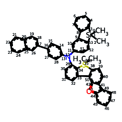 C[Si]1(C)c2ccccc2-c2cc(N(c3ccc(-c4ccc5ccccc5c4)cc3)c3cccc4c3S(C)(C)c3ccc5c(oc6ccccc65)c3-4)ccc21